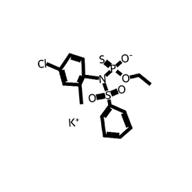 CCOP([O-])(=S)N(c1ccc(Cl)cc1C)S(=O)(=O)c1ccccc1.[K+]